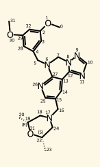 COc1cc(CN2Cn3ncnc3-c3cc(CN4C[C@@H](C)O[C@@H](C)C4)cnc32)cc(OC)c1